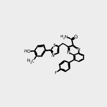 Cc1cc(-c2ncc(Cc3nc4c(-c5ccc(F)cc5)cccc4nc3C(N)=O)s2)ccc1O